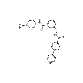 O=C(NCc1cccc(C(=O)NC2CCN(C3CC3)CC2)c1)c1ccc(-c2ccncc2)cc1